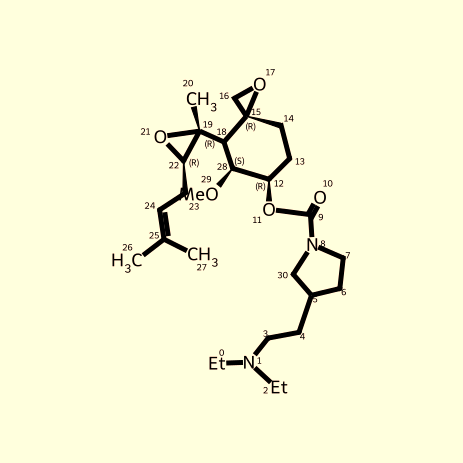 CCN(CC)CCC1CCN(C(=O)O[C@@H]2CC[C@]3(CO3)C([C@@]3(C)O[C@@H]3CC=C(C)C)[C@@H]2OC)C1